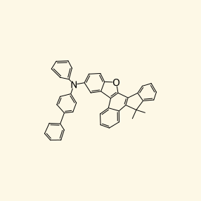 CC1(C)c2ccccc2-c2c1c1ccccc1c1c2oc2ccc(N(c3ccccc3)c3ccc(-c4ccccc4)cc3)cc21